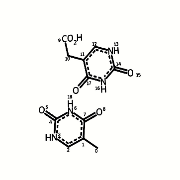 Cc1c[nH]c(=O)[nH]c1=O.O=C(O)Cc1c[nH]c(=O)[nH]c1=O